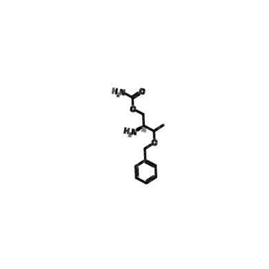 CC(OCc1ccccc1)[C@@H](N)COC(N)=O